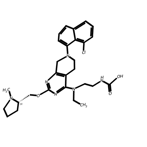 CCN(CCNC(=O)O)c1nc(OC[C@@H]2CCCN2C)nc2c1CCN(c1cccc3cccc(Cl)c13)C2